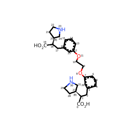 O=C(O)C(Cc1cccc(OCCOc2cccc(CC(C(=O)O)[C@H]3CCNC3)c2)c1)[C@H]1CCNC1